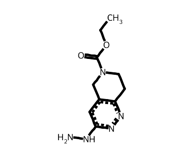 CCOC(=O)N1CCc2nnc(NN)cc2C1